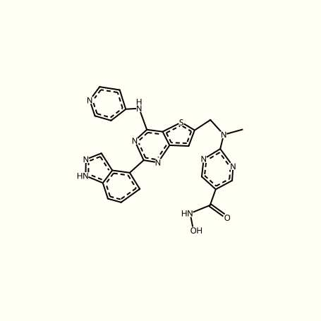 CN(Cc1cc2nc(-c3cccc4[nH]ncc34)nc(Nc3ccncc3)c2s1)c1ncc(C(=O)NO)cn1